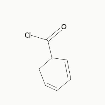 O=C(Cl)C1C=CC=CC1